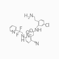 N#Cc1ccc(NCC(F)(F)c2ccccn2)[n+]([O-])c1CC(=O)NCc1cc(Cl)ccc1CCN